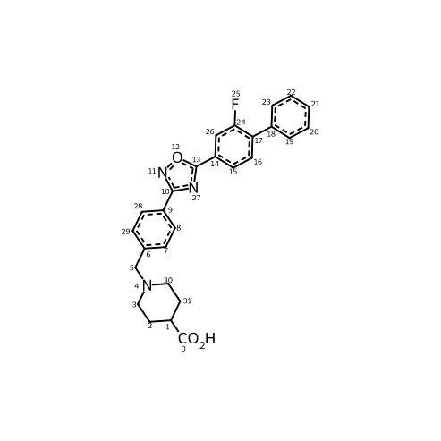 O=C(O)C1CCN(Cc2ccc(-c3noc(-c4ccc(-c5ccccc5)c(F)c4)n3)cc2)CC1